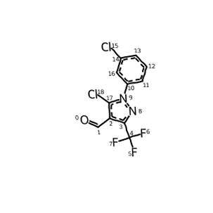 O=Cc1c(C(F)(F)F)nn(-c2cccc(Cl)c2)c1Cl